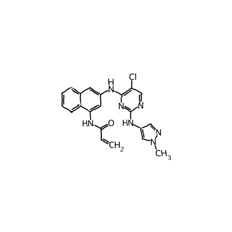 C=CC(=O)Nc1cc(Nc2nc(Nc3cnn(C)c3)ncc2Cl)cc2ccccc12